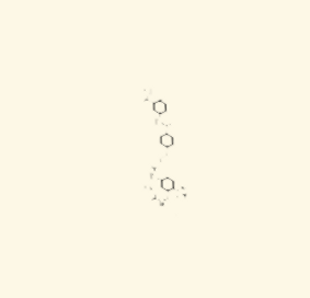 CN(Cc1cc(NC(=O)OCCc2ccc(C(Nc3cccc(C(N)=O)c3)C(=O)O)cc2)ccc1S(=O)(=O)I)C(=O)OC(C)(C)C